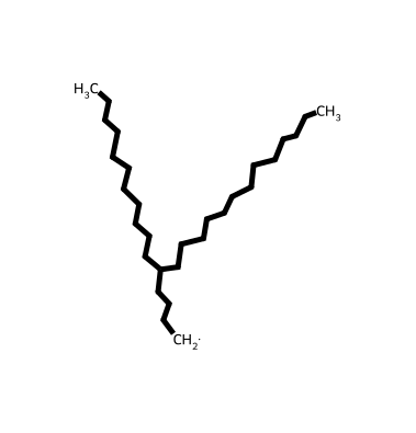 [CH2]CCCC(CCCCCCCCCCC)CCCCCCCCCCCCC